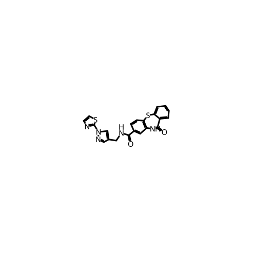 O=C(NCc1cnn(-c2nccs2)c1)c1ccc2c(c1)NC(=O)c1ccccc1S2